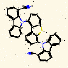 N#Cc1cccc2c3ccccc3n(-c3cccc4c3sc3cccc(-n5c6ccccc6c6cccc(C#N)c65)c34)c12